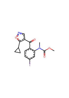 COC(=O)N(C)c1cc(I)ccc1C(=O)c1cnoc1C1CC1